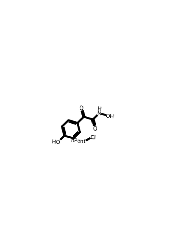 CCCCCCl.O=C(NO)C(=O)c1ccc(O)cc1